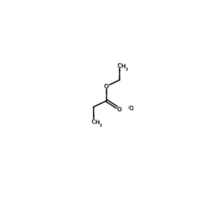 CCOC(=O)CC.[O]